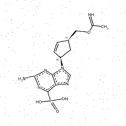 CC(=N)OC[C@@H]1C=C[C@H](n2cnc3c(P(=O)(O)O)nc(N)nc32)C1